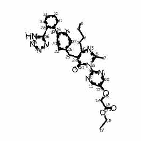 CCCCc1nc(C)n(-c2ncc(OCC(=O)OCC)cn2)c(=O)c1Cc1ccc(-c2ccccc2-c2nnn[nH]2)cc1